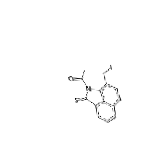 CC(=O)N1C(=S)c2cccc3ccc(CI)c1c23